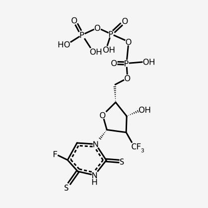 O=P(O)(O)OP(=O)(O)OP(=O)(O)OC[C@H]1O[C@@H](n2cc(F)c(=S)[nH]c2=S)C(C(F)(F)F)[C@H]1O